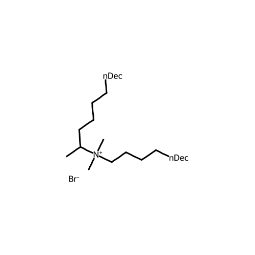 CCCCCCCCCCCCCCC(C)[N+](C)(C)CCCCCCCCCCCCCC.[Br-]